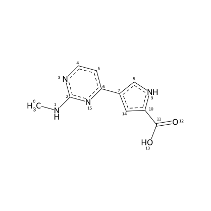 CNc1nccc(-c2c[nH]c(C(=O)O)c2)n1